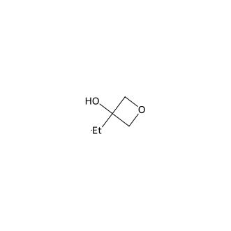 C[CH]C1(O)COC1